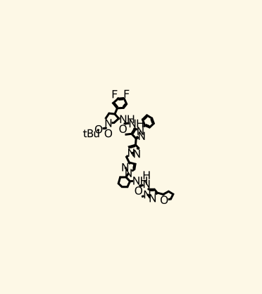 Cc1c(-c2cnn(Cc3ccn(C4CCCCC4NC(=O)Nc4cc(C5CCCO5)nn4C)n3)c2)nn(-c2ccccc2)c1NC(=O)NC1CN(C(=O)OC(C)(C)C)CCC1c1ccc(F)c(F)c1